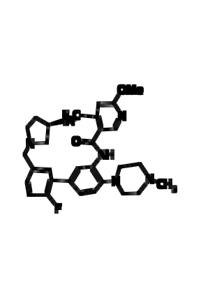 COc1cc(C(F)(F)F)c(C(=O)Nc2cc(-c3cc(CN4CC[C@@H](C(C)C)C4)ccc3F)ccc2N2CCN(C)CC2)cn1